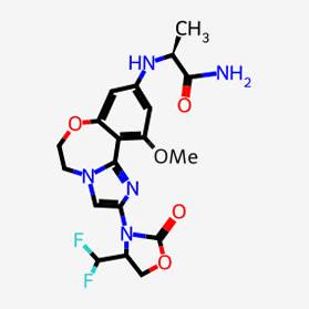 COc1cc(N[C@@H](C)C(N)=O)cc2c1-c1nc(N3C(=O)OCC3C(F)F)cn1CCO2